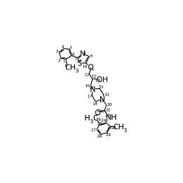 Cc1ccccc1-c1ncc(OCC(O)CN2CCN(CC(=O)Nc3c(C)cccc3C)CC2)s1